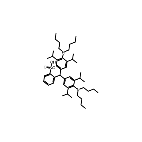 CCCCN(CCCC)c1c(C(C)C)cc(C(c2cc(C(C)C)c(N(CCCC)CCCC)c(C(C)C)c2)c2ccccc2S(=O)(=O)O)cc1C(C)C